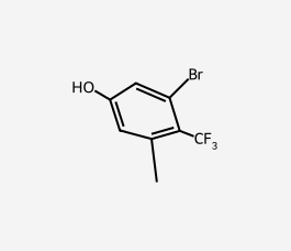 Cc1cc(O)cc(Br)c1C(F)(F)F